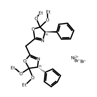 CCOC1(OCC)OC(CC2=N[C@H](c3ccccc3)C(OCC)(OCC)O2)=N[C@@H]1c1ccccc1.[Br-].[Br-].[Ni+2]